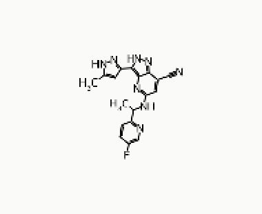 Cc1cc(-c2[nH]nc3c(C#N)cc(NC(C)c4ccc(F)cn4)nc23)n[nH]1